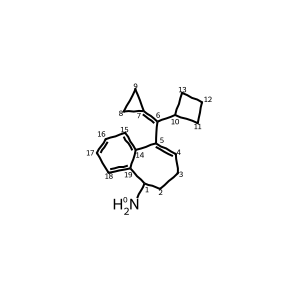 NC1CCC=C(C(=C2CC2)C2CCC2)c2ccccc21